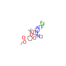 CCOC(=O)[C@H]1CC[C@H](OC(C(=O)OC(C)(C)C)(N2CCCC2)N2CCN(CC(F)(F)F)CC2)CC1